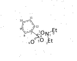 CCN(CC)OS(=O)(=O)c1ccccc1